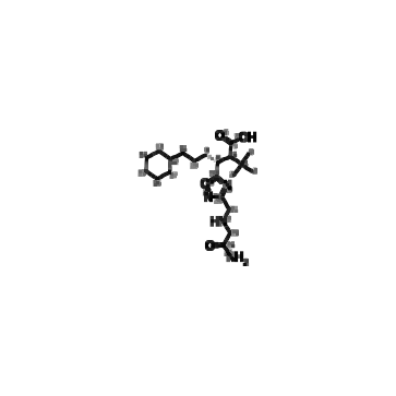 CC(C)(C)C(C(=O)O)[C@@H](CCCC1CCCCC1)c1nc(CNCC(N)=O)no1